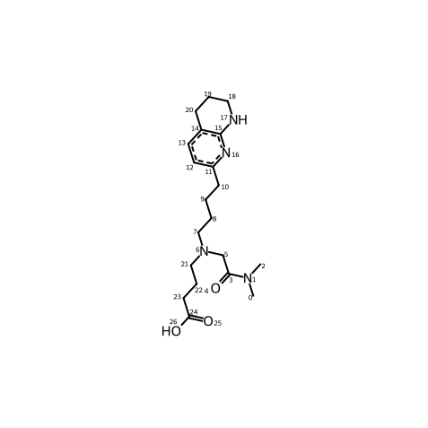 CN(C)C(=O)CN(CCCCc1ccc2c(n1)NCCC2)CCCC(=O)O